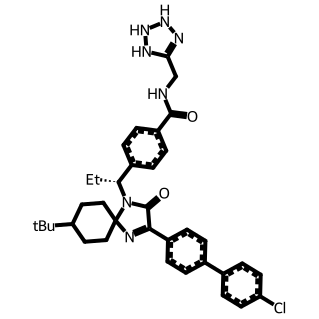 CC[C@H](c1ccc(C(=O)NCC2=NNNN2)cc1)N1C(=O)C(c2ccc(-c3ccc(Cl)cc3)cc2)=NC12CCC(C(C)(C)C)CC2